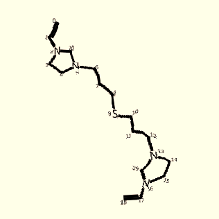 C=CN1CCN(CCCSCCCN2CCN(C=C)C2)C1